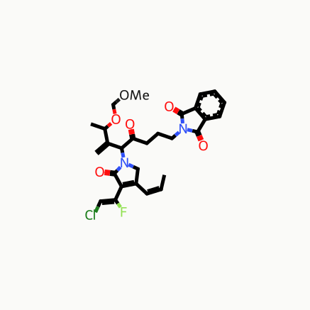 C=C(C(C)OCOC)C(C(=O)CCCN1C(=O)c2ccccc2C1=O)N1CC(/C=C\C)=C(C(/F)=C/Cl)C1=O